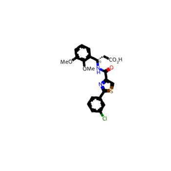 COc1cccc([C@H](CC(=O)O)NC(=O)c2csc(-c3cccc(Cl)c3)n2)c1OC